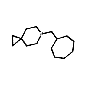 C1CCCC(CN2CCC3(CC2)CC3)CC1